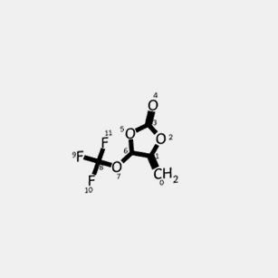 C=C1OC(=O)OC1OC(F)(F)F